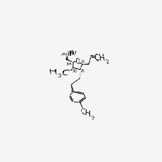 C=CC[C@@H]1O[C@H](C[C@H](C)CC)[C@H](C)[C@H]1CCc1ccc(C)cc1